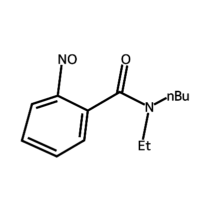 CCCCN(CC)C(=O)c1ccccc1N=O